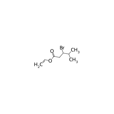 C=COC(=O)CC(Br)C(C)C